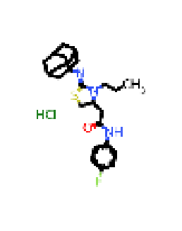 CCCN1/C(=N/C23CC4CC(CC(C4)C2)C3)SCC1CC(=O)Nc1ccc(F)cc1.Cl